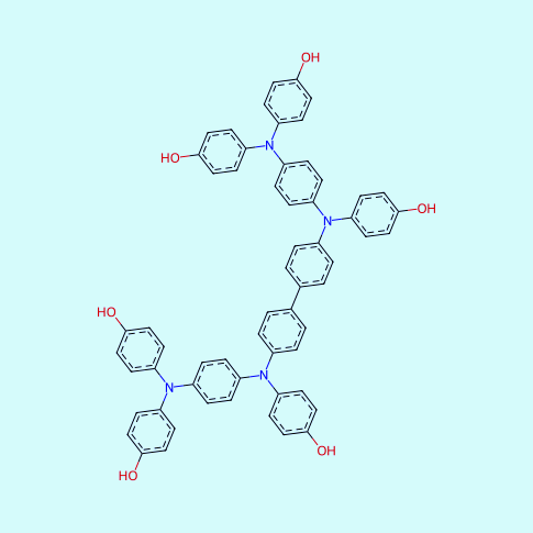 Oc1ccc(N(c2ccc(O)cc2)c2ccc(N(c3ccc(O)cc3)c3ccc(-c4ccc(N(c5ccc(O)cc5)c5ccc(N(c6ccc(O)cc6)c6ccc(O)cc6)cc5)cc4)cc3)cc2)cc1